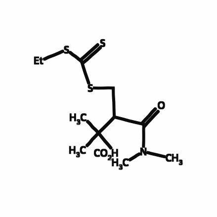 CCSC(=S)SCC(C(=O)N(C)C)C(C)(C)C(=O)O